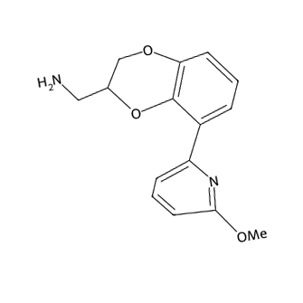 COc1cccc(-c2cccc3c2OC(CN)CO3)n1